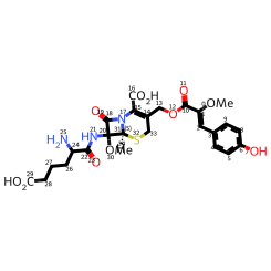 COC(=Cc1ccc(O)cc1)C(=O)OCC1=C(C(=O)O)N2C(=O)C(NC(=O)C(N)CCCC(=O)O)(OC)[C@@H]2SC1